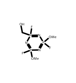 COP1(F)=NP(F)(CO)=NP(F)(OC)=N1